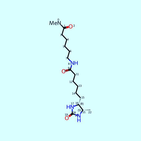 CNC(=O)CCCCCNC(=O)CCCCC[C@H]1NC(=O)N[C@H]1C